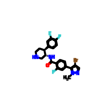 Cn1ncc(Br)c1-c1ccc(C(=O)N[C@@H]2CNCC[C@H]2c2ccc(F)c(F)c2)c(F)c1